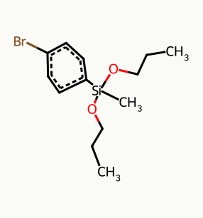 CCCO[Si](C)(OCCC)c1ccc(Br)cc1